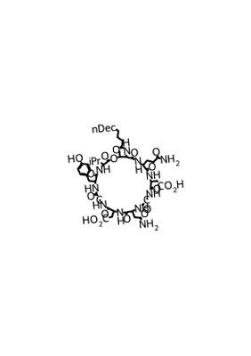 CCCCCCCCCCCCCC(=O)NC1C(=O)NC(CCC(N)=O)C(=O)NC(CC(=O)O)C(=O)NCC(=O)NC(CC(N)=O)C(=O)NC(CC(=O)O)C(=O)NCC(=O)NC(Cc2ccc(O)cc2)C(=O)NC(C(C)C)C(=O)OC1C